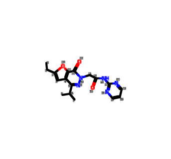 CCc1cc2c(C(C)C)nn(CC(=O)Nc3ncccn3)c(=O)c2o1